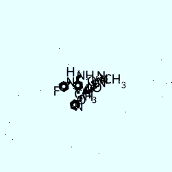 Cc1cc(Nc2ccc(F)cc2)c(C=N)cc1[C@]12CN(S(=O)(=O)c3cnn(C)n3)C[C@H]1[C@@H]2COc1ccccn1